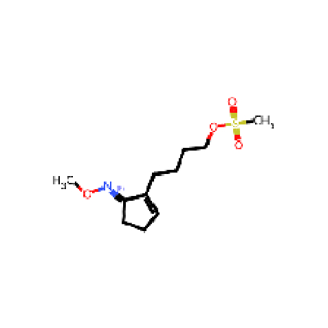 CO/N=C1\CCC=C1CCCCOS(C)(=O)=O